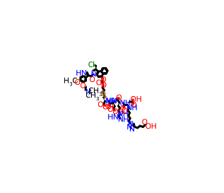 COc1cc2[nH]cc(C(=O)N3C[C@@H](CCl)c4c3cc(OC(=O)OCCSSC[C@H](NC(=O)[C@H](CC(=O)O)NC(=O)[C@H](CCCNC(=N)N)NC(=O)[C@H](CC(=O)O)NC(=O)CCCCn3cc(CCCC(=O)O)nn3)C(=O)O)c3ccccc43)c2cc1OCCN(C)C